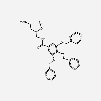 CCOC(CCNC)CNC(=O)c1cc(OCc2ccccc2)c(OCc2ccccc2)c(OCc2ccccc2)c1